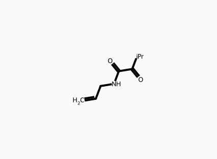 C=CCNC(=O)C(=O)C(C)C